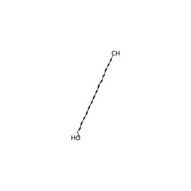 C#CC#CC#CC#CC#CC#CC#CC#CC#CC#CC#CC#CC#CC#CC#CCCO